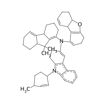 CC1C=CC(n2c3c(c4ccccc42)C=C(N(C2=CCCC4=C2C2C=CCCC2O4)C2=C4C(CCC2)C2=CCCCC2C4(C)C)CC3)CC1